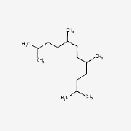 CC(C)CCC(C)CCC(C)CCC(C)C